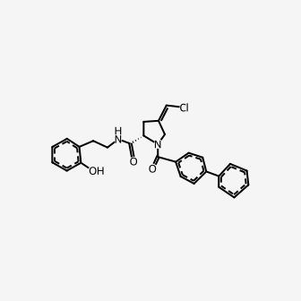 O=C(NCCc1ccccc1O)[C@@H]1CC(=CCl)CN1C(=O)c1ccc(-c2ccccc2)cc1